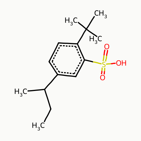 CCC(C)c1ccc(C(C)(C)C)c(S(=O)(=O)O)c1